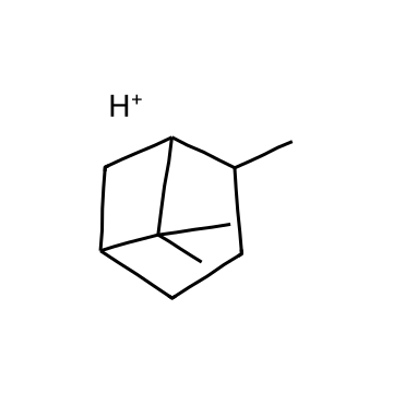 CC1CCC2CC1C2(C)C.[H+]